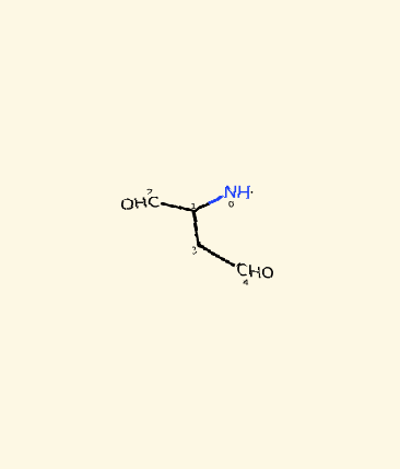 [NH]C(C=O)CC=O